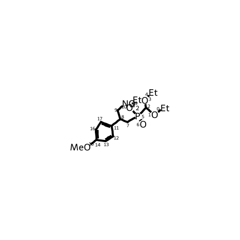 CCOC(OCC)P(=O)(CC(C[N+](=O)[O-])c1ccc(OC)cc1)OCC